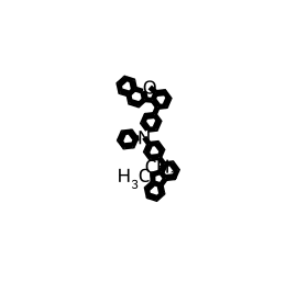 CC1(C)c2ccccc2-c2cccc(-c3ccc(N(c4ccccc4)c4ccc(-c5cccc6oc7c8ccccc8ccc7c56)cc4)cc3)c21